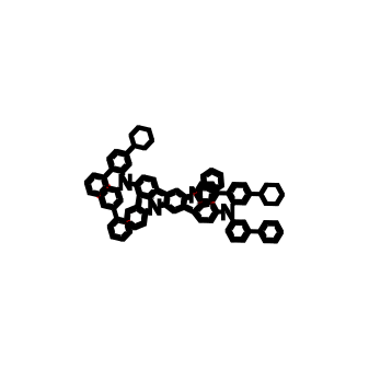 c1ccc(-c2cccc(N(c3cc(C4CCCCC4)ccc3-c3ccccc3)c3ccc4c5cc6c(cc5n5c7ccccc7c3c45)c3ccc(N(c4cccc(-c5ccccc5)c4)c4cc(C5CCCCC5)ccc4-c4ccccc4)c4c5ccccc5n6c34)c2)cc1